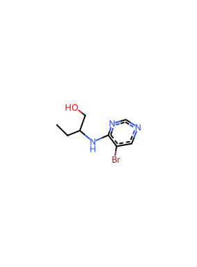 CCC(CO)Nc1ncncc1Br